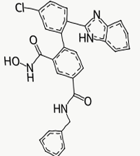 O=C(NCc1ccccc1)c1ccc(-c2cc(Cl)ccc2-c2nc3ccccc3[nH]2)c(C(=O)NO)c1